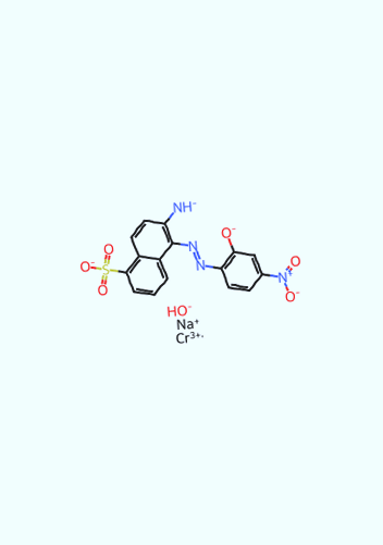 [Cr+3].[NH-]c1ccc2c(S(=O)(=O)[O-])cccc2c1N=Nc1ccc([N+](=O)[O-])cc1[O-].[Na+].[OH-]